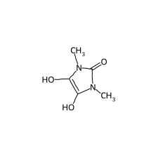 Cn1c(O)c(O)n(C)c1=O